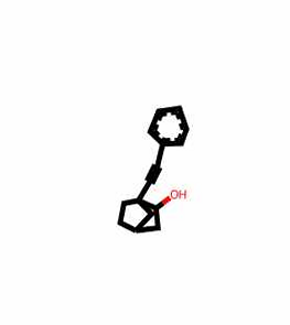 OC1CC2CCC1(C#Cc1ccccc1)C2